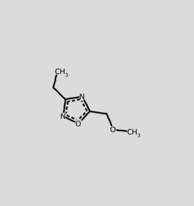 CCc1noc(COC)n1